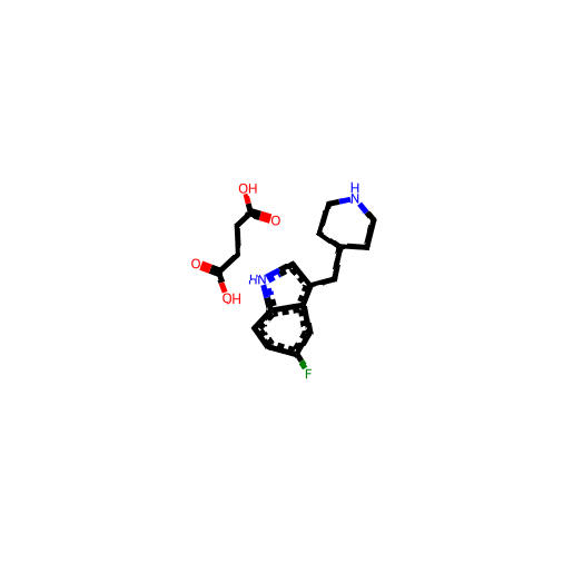 Fc1ccc2[nH]cc(CC3CCNCC3)c2c1.O=C(O)CCC(=O)O